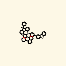 CC1(c2ccccc2)c2ccccc2-c2c(N(c3ccc(-c4ccc5oc6ccccc6c5c4)cc3)c3ccccc3-c3cccc4cccc(C5CCCCC5)c34)cccc21